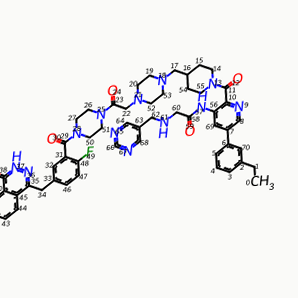 CCc1cccc(-c2cnc(C(=O)N3CCC(CN4CCN(CC(=O)N5CCN(C(=O)c6cc(Cc7n[nH]c(=O)c8ccccc78)ccc6F)CC5)CC4)CC3)c(NC(=O)CNCc3cncnc3)c2)c1